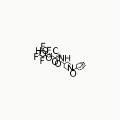 O=C(O)C[C@H](NC(=O)C1CCN(C(=O)C23CC4CC(C2)C(C4)C3)CC1)C(=O)COc1c(F)c(F)cc(F)c1F